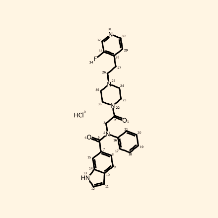 Cl.O=C(CN(C(=O)c1ccc2cc[nH]c2c1)c1ccccc1)N1CCN(CCc2ccncc2F)CC1